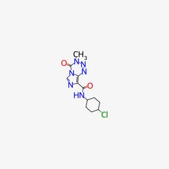 Cn1nnc2c(C(=O)NC3CCC(Cl)CC3)ncn2c1=O